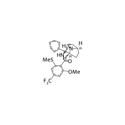 COc1cc(C(F)(F)F)cc(SC)c1C(=O)N[C@@]1(c2ccccc2)CC[C@H]2CC[C@H]1N2C